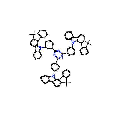 CC1(C)c2ccccc2-c2c1ccc1c3ccccc3n(-c3ccc(-c4nc(-c5cccc(-n6c7ccccc7c7ccc8c(c76)-c6ccccc6C8(C)C)c5)nc(-c5cccc(-n6c7ccccc7c7ccc8c(c76)-c6ccccc6C8(C)C)c5)n4)cc3)c21